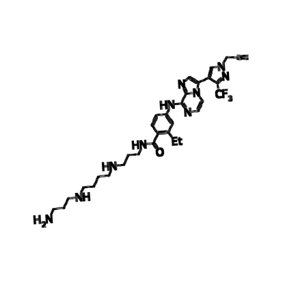 C#CCn1cc(-c2cnc3c(Nc4ccc(C(=O)NCCCNCCCCNCCCN)c(CC)c4)nccn23)c(C(F)(F)F)n1